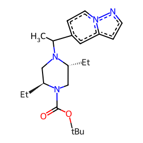 CC[C@H]1CN(C(C)c2ccn3nccc3c2)[C@H](CC)CN1C(=O)OC(C)(C)C